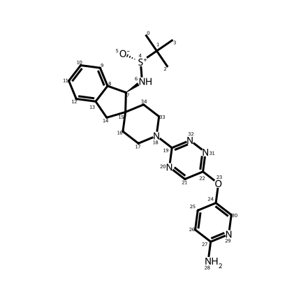 CC(C)(C)[S@@+]([O-])N[C@@H]1c2ccccc2CC12CCN(c1ncc(Oc3ccc(N)nc3)nn1)CC2